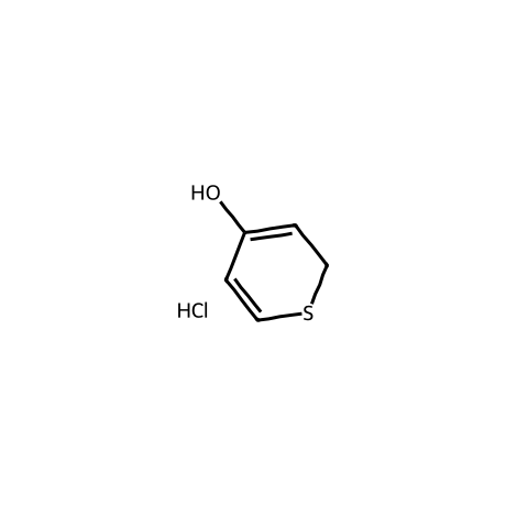 Cl.OC1=CCSC=C1